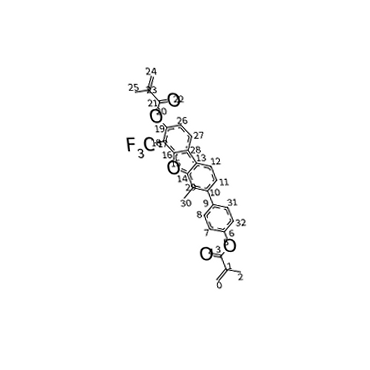 C=C(C)C(=O)Oc1ccc(-c2ccc3c(oc4c(C(F)(F)F)c(OC(=O)C(=C)C)ccc43)c2C)cc1